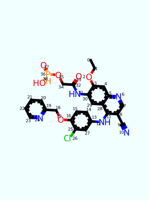 CCOc1cc2ncc(C#N)c(Nc3ccc(OCc4ccccn4)c(Cl)c3)c2cc1NC(=O)CO[PH](=O)O